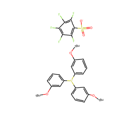 CC(C)(C)Oc1cccc([S+](c2cccc(OC(C)(C)C)c2)c2cccc(OC(C)(C)C)c2)c1.O=S(=O)([O-])c1c(F)c(F)c(F)c(F)c1F